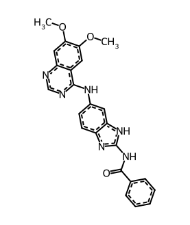 COc1cc2ncnc(Nc3ccc4nc(NC(=O)c5ccccc5)[nH]c4c3)c2cc1OC